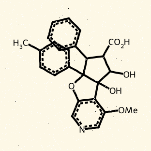 COc1cncc2c1C1(O)C(O)C(C(=O)O)C(c3ccccc3)C1(c1ccc(C)cc1)O2